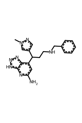 Cn1cc(C(CCNCc2ccccc2)c2cc(N)nc3[nH]nnc23)cn1